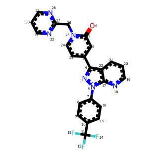 O=c1cc(-c2nn(-c3ccc(C(F)(F)F)cc3)c3ncccc23)ccn1Cc1ncccn1